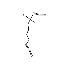 CCC(C)(CCCCN=C=O)N=C=O